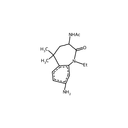 CCN1C(=O)C(NC(C)=O)CC(C)(C)c2ccc(N)cc21